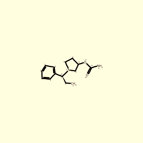 CC[C@@H](c1ccccc1)N1CCC(OC(N)=O)C1